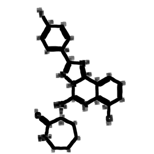 O=C1NCCCC[C@H]1Nc1nc2c(Cl)cccc2c2nc(-c3ccc(F)cc3)nn12